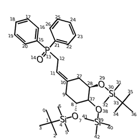 CC(C)(C)[Si](C)(C)O[C@@H]1CC(=CCP(=O)(c2ccccc2)c2ccccc2)C[C@@H](O[Si](C)(C)C(C)(C)C)C1O[Si](C)(C)C